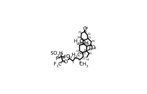 C[C@H](CCC(=O)OC(C(F)(F)F)C(F)(F)S(=O)(=O)O)[C@H]1CC[C@H]2[C@@H]3C(=O)CC4CC(=O)CC[C@]4(C)[C@H]3CC[C@]12C